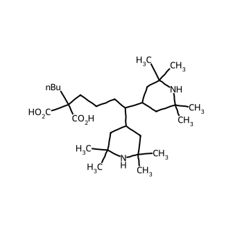 CCCCC(CCCC(C1CC(C)(C)NC(C)(C)C1)C1CC(C)(C)NC(C)(C)C1)(C(=O)O)C(=O)O